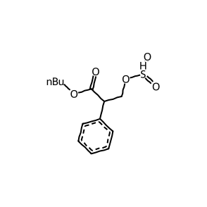 CCCCOC(=O)C(CO[SH](=O)=O)c1ccccc1